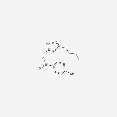 CCCCc1c[nH]c(C)n1.O=[N+]([O-])c1ccc(O)cc1